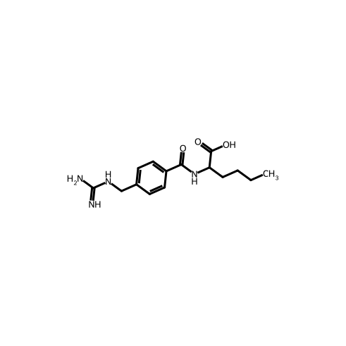 CCCCC(NC(=O)c1ccc(CNC(=N)N)cc1)C(=O)O